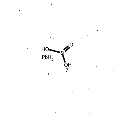 O=[Si](O)O.[PbH2].[Zr]